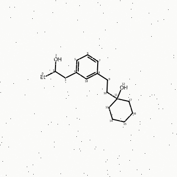 CCC(O)Cc1cccc(CCC2(O)CCCCC2)c1